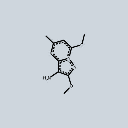 COc1nn2c(OC)cc(C)nc2c1N